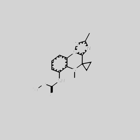 Cc1nc2n(n1)-c1cccc(NC(=O)OC(C)(C)C)c1N(C)C21CC1